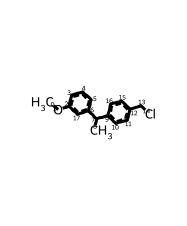 COc1cccc(C(C)c2ccc(CCl)cc2)c1